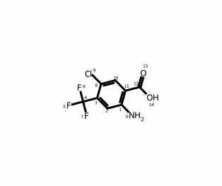 Nc1cc(C(F)(F)F)c(Cl)cc1C(=O)O